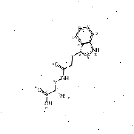 N[C@@H](CNC(=O)CCc1c[nH]c2ccccc12)C(=O)O